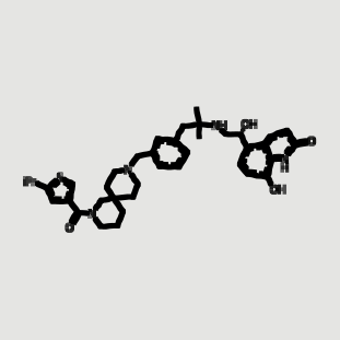 CC(C)c1cc(C(=O)N2CCCC3(CCN(Cc4cccc(CC(C)(C)NC[C@H](O)c5ccc(O)c6[nH]c(=O)ccc56)c4)CC3)C2)cs1